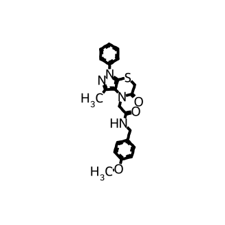 COc1ccc(CNC(=O)CN2C(=O)CSc3c2c(C)nn3-c2ccccc2)cc1